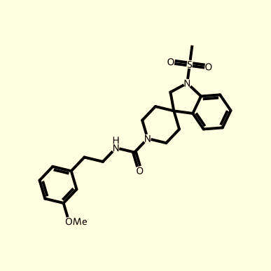 COc1cccc(CCNC(=O)N2CCC3(CC2)CN(S(C)(=O)=O)c2ccccc23)c1